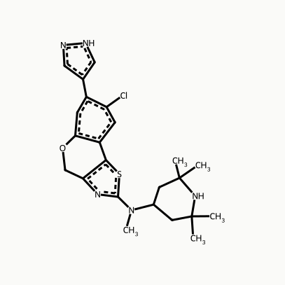 CN(c1nc2c(s1)-c1cc(Cl)c(-c3cn[nH]c3)cc1OC2)C1CC(C)(C)NC(C)(C)C1